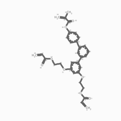 C=CC(=O)OCCOc1cc(OCCOC(=O)C=C)cc(-c2cccc(-c3ccc(OC(=O)C(=C)C)cc3)c2)c1